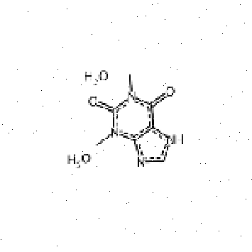 Cn1c(=O)c2[nH]cnc2n(C)c1=O.O.O